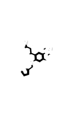 NC(=O)CC(O)c1cc(S(N)(=O)=O)c(Cl)cc1NCc1ccco1